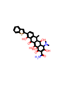 CC1c2ccc(-c3cc4ccccc4s3)c(O)c2C(=O)C2=C(O)C3(O)C(=O)C(C(N)=O)=C(O)C(N(C)C)C3C(O)C21